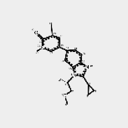 COC[C@H](C)n1c(C2CC2)nc2ccc(-c3cc(C)c(=O)n(C)c3)cc21